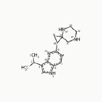 CC(C)c1c[nH]c2ccc(C3CC34CNCCN4)nc12